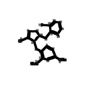 COc1ccc(CN2C(Cl)=CCN2Cc2ncccc2F)c(OC)c1